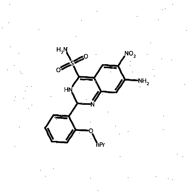 CCCOc1ccccc1C1N=c2cc(N)c([N+](=O)[O-])cc2=C(S(N)(=O)=O)N1